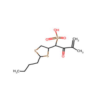 C=C(C)C(=O)C(C1CSC(CCCC)S1)S(=O)(=O)O